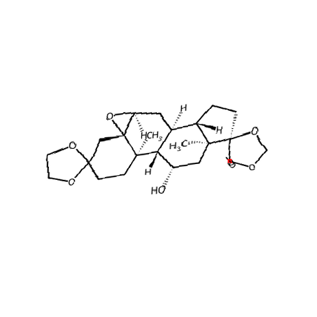 C[C@]12C[C@H](O)[C@H]3[C@@H](C[C@@H]4O[C@]45CC4(CC[C@]35C)OCCO4)[C@@H]1CC[C@@]21OCOC12COCO2